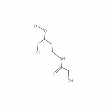 CCOC(CCNC(=O)CO)OCC